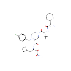 CC(C)(C)[C@H](NC(=O)[C@@H](N)C1CCCCC1)C(=O)N1CCN(Cc2ccc(Cl)cc2)[C@@H](C(=O)NC(CC2CCC2)C(=O)C(N)=O)C1